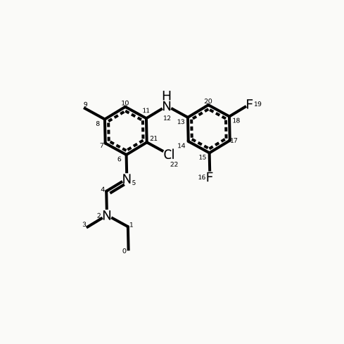 CCN(C)C=Nc1cc(C)cc(Nc2cc(F)cc(F)c2)c1Cl